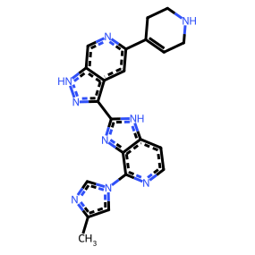 Cc1cn(-c2nccc3[nH]c(-c4n[nH]c5cnc(C6=CCNCC6)cc45)nc23)cn1